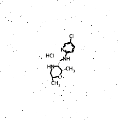 C[C@@H]1O[C@@H](C)CN[C@@H]1CNc1ccc(Cl)cn1.Cl